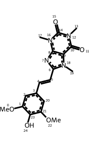 COc1cc(/C=C/c2nc3c(c(=O)n(C)c(=O)n3C)n2C)cc(OC)c1O